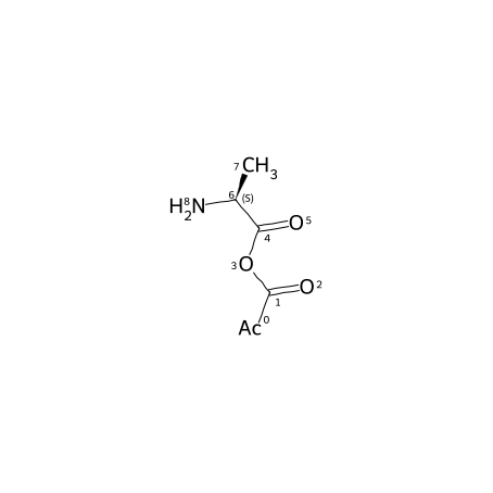 CC(=O)C(=O)OC(=O)[C@H](C)N